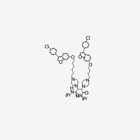 CC(C)NC(=O)C(C(C(=O)NC(C)C)N1CCN(CCCCOc2ccc3c(-c4ccc(Cl)cc4)coc3c2)CC1)N1CCN(CCCCCCOc2ccc3c(-c4ccc(Cl)cc4)coc3c2)CC1